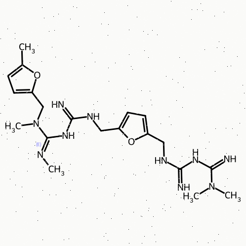 C/N=C(\NC(=N)NCc1ccc(CNC(=N)NC(=N)N(C)C)o1)N(C)Cc1ccc(C)o1